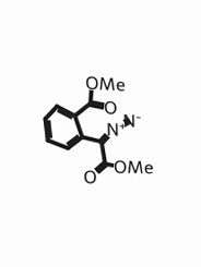 COC(=O)C(=[N+]=[N-])c1ccccc1C(=O)OC